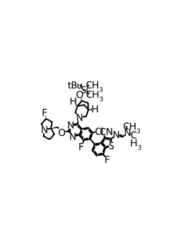 CN(C)/C=N/c1sc2c(F)ccc(-c3c(Cl)cc4c(N5C[C@@H]6C[C@H](C5)[C@H](O[Si](C)(C)C(C)(C)C)C6)nc(OC[C@@]56CCCN5C[C@H](F)C6)nc4c3F)c2c1C#N